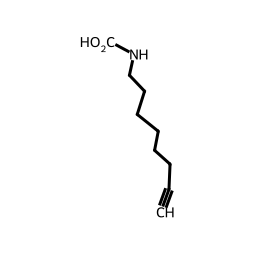 C#CCCCCCCNC(=O)O